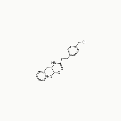 O=C(CCc1ccc(CCl)cc1)NC(Cc1ccccc1)C(=O)O